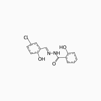 O=C(NN=Cc1cc(Cl)ccc1O)c1ccccc1O